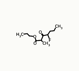 CCCOC(=O)C(C)C(=O)C(F)CCC